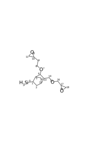 [SiH3]C1CC2CC1C(OCCC1CO1)C2COCC1CO1